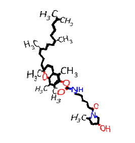 CC1=C(OC(=O)NCCCCCC(=O)N2CC(O)CC2C)C(C)C2CC[C@@](C)(CCC[C@H](C)CCC[C@H](C)CCCC(C)C)OC2C1C